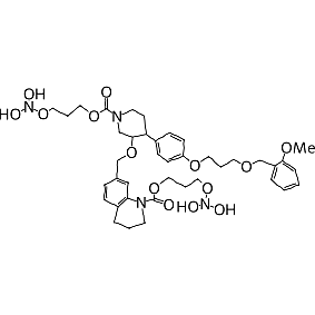 COc1ccccc1COCCCOc1ccc(C2CCN(C(=O)OCCCON(O)O)CC2OCc2ccc3c(c2)N(C(=O)OCCCON(O)O)CCC3)cc1